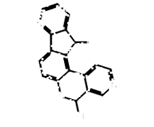 CC1Sc2ccc3c(c2-c2ccncc21)C(C)c1cccnc1-3